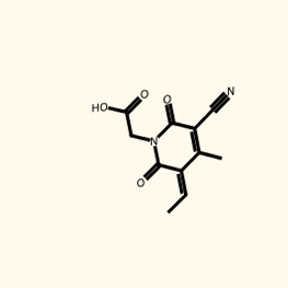 CC=C1C(=O)N(CC(=O)O)C(=O)C(C#N)=C1C